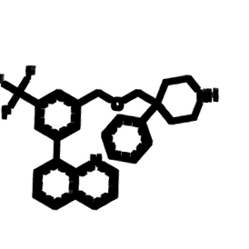 FC(F)(F)c1cc(COCC2(c3ccccc3)CCNCC2)cc(-c2cccc3cccnc23)c1